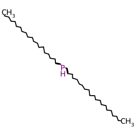 CCCCCCCCCCCCCCCCCCCC=CPC=CCCCCCCCCCCCCCCCCCCC